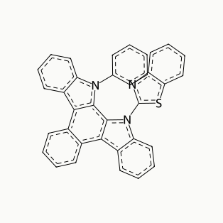 c1ccc(-n2c3ccccc3c3c4ccccc4c4c5ccccc5n(-c5nc6ccccc6s5)c4c32)cc1